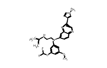 COc1cc(OC(F)F)cc(N(CCNC(C)C)c2ccc3ncc(-c4ccn(C)c4)nc3c2)c1